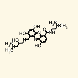 CN(C)CCNC(=O)c1ccc(O)c2nc3c(C=NCC(O)CN(C)C)c(O)cc(O)c3nc12